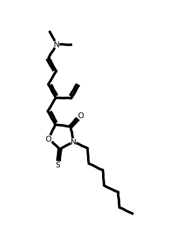 C=CC(=C\C=C\N(C)C)/C=C1/OC(=S)N(CCCCCCC)C1=O